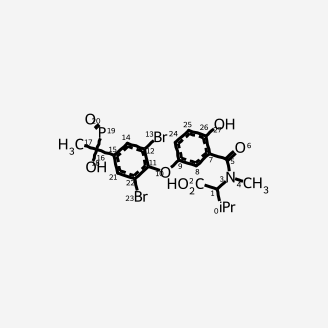 CC(C)C(C(=O)O)N(C)C(=O)c1cc(Oc2c(Br)cc(C(C)(O)P=O)cc2Br)ccc1O